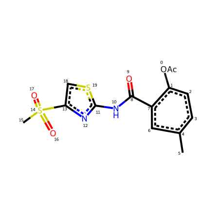 CC(=O)Oc1ccc(C)cc1C(=O)Nc1nc(S(C)(=O)=O)cs1